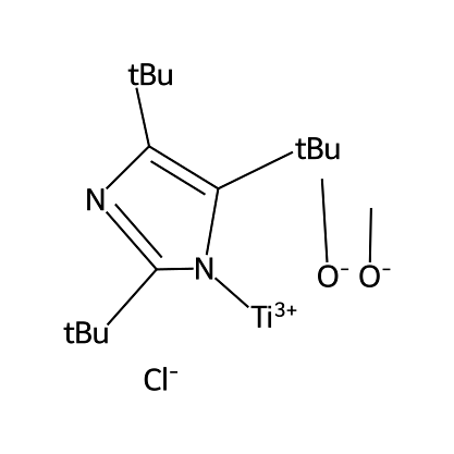 CC(C)(C)c1nc(C(C)(C)C)[n]([Ti+3])c1C(C)(C)C.C[O-].C[O-].[Cl-]